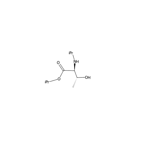 CC(C)N[C@H](C(=O)OC(C)C)[C@@H](C)O